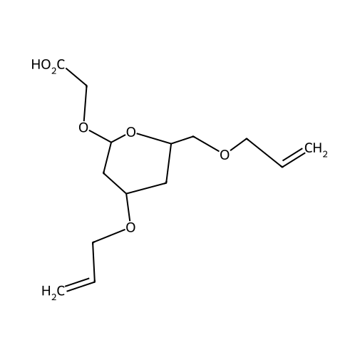 C=CCOCC1CC(OCC=C)CC(OCC(=O)O)O1